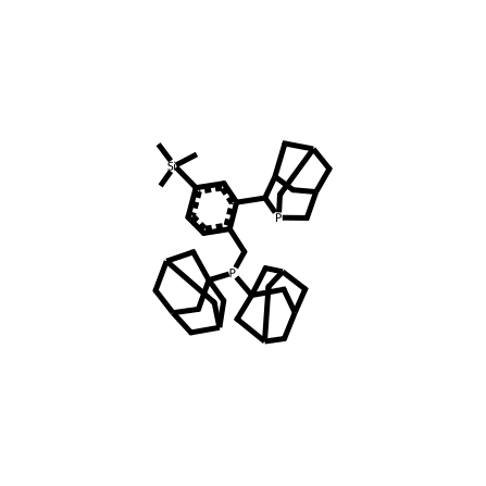 C[Si](C)(C)c1ccc(CP(C23CC4CC(CC(C4)C2)C3)C23CC4CC(CC(C4)C2)C3)c(C2C3CC4CC(C3)CP2C4)c1